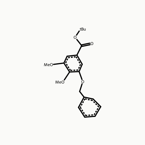 COc1cc(C(=O)OC(C)(C)C)cc(OCc2ccccc2)c1OC